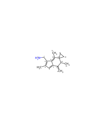 C=C1C2=CC(C)=C(CN)C2=C(C)C2(CC2)C1C